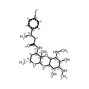 CN[C@@H]1[C@H](O)[C@H](NC)C2O[C@]3(O)C(OC2[C@H]1O)O[C@H](C)C[C@H]3NC(=O)C[C@@H](N)c1ccc(F)cc1